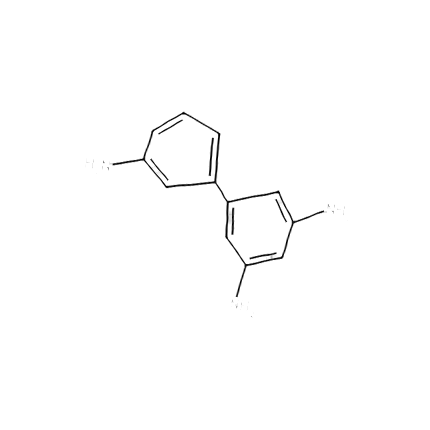 Nc1cccc(-c2cc(N)cc(N)c2)c1